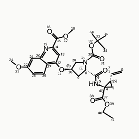 C=C[C@@H]1C[C@]1(NC(=O)[C@@H]1C[C@@H](Oc2cc(C(=O)OC)nc3cc(OC)ccc23)CN1C(=O)OC(C)(C)C)C(=O)OCC